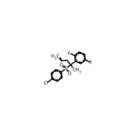 C=CCC(C)(c1cc(F)ccc1F)S(=O)(=O)c1ccc(Cl)cc1